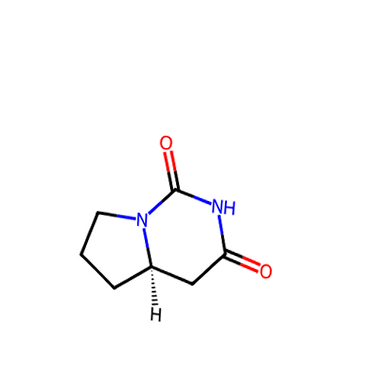 O=C1C[C@H]2CCCN2C(=O)N1